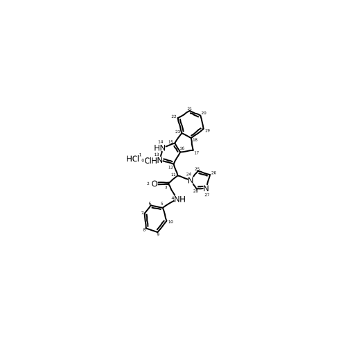 Cl.Cl.O=C(Nc1ccccc1)C(c1n[nH]c2c1Cc1ccccc1-2)n1ccnc1